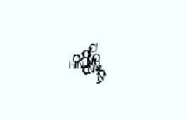 CCN1CCC2(C1)CN(C(=O)N1c3cc(Cl)ccc3C(=O)Nc3cccnc31)C2